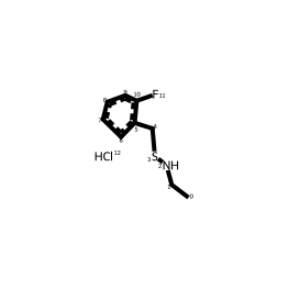 CCNSCc1ccccc1F.Cl